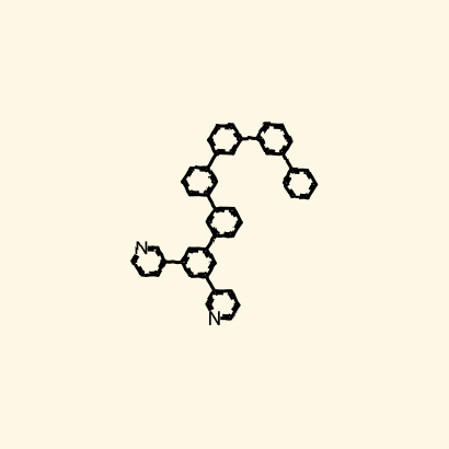 c1ccc(-c2cccc(-c3cccc(-c4cccc(-c5cccc(-c6cc(-c7cccnc7)cc(-c7cccnc7)c6)c5)c4)c3)c2)cc1